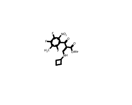 COC(=O)C(=CNC1CCC1)C(=O)c1c(F)c(C)c(F)c(F)c1[N+](=O)[O-]